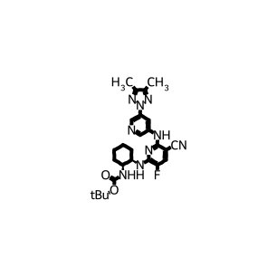 Cc1nn(-c2cncc(Nc3nc(N[C@@H]4CCCC[C@@H]4NC(=O)OC(C)(C)C)c(F)cc3C#N)c2)nc1C